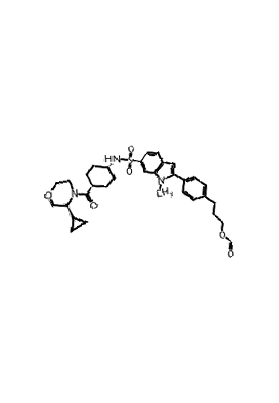 Cn1c(-c2ccc(CCCOC=O)cc2)cc2ccc(S(=O)(=O)N[C@H]3CC[C@H](C(=O)N4CCOC[C@@H]4C4CC4)CC3)cc21